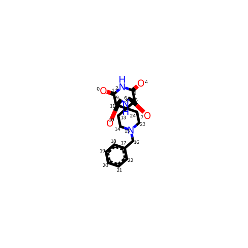 O=C1NC(=O)C2C(=O)NC(=O)C1C21CCN(Cc2ccccc2)CC1